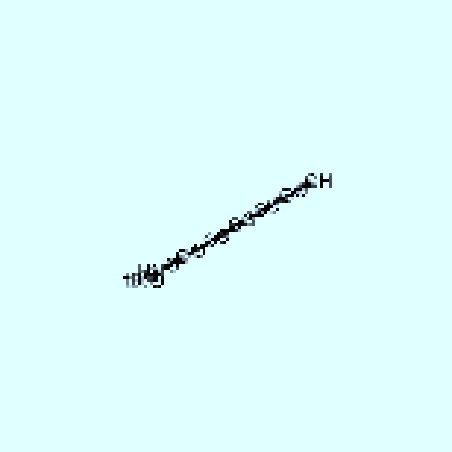 CC(C)(C)OC(=O)NCCOCCOCCOCCOCCOCCOCCOCCOCCOCCOCCOCCO